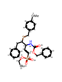 COc1ccc(CSC(Cc2ccccc2)C(C=CS(=O)(=O)OCC(C)(C)C)NC(=O)OCc2ccccc2)cc1